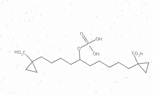 O=C(O)C1(CCCCCC(CCCCC2(C(=O)O)CC2)OP(=O)(O)O)CC1